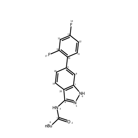 CCCCC(=O)Nc1n[nH]c2cc(-c3ccc(F)cc3F)ccc12